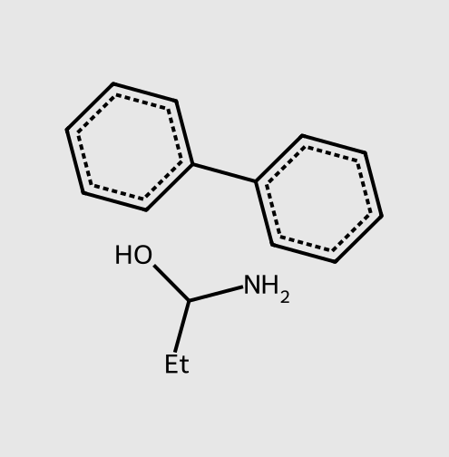 CCC(N)O.c1ccc(-c2ccccc2)cc1